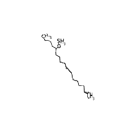 CCCCCCCCCCCCC(CCCC)O[SiH3]